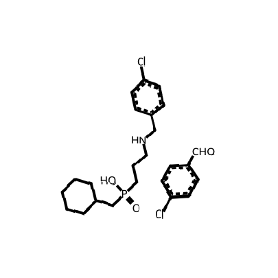 O=Cc1ccc(Cl)cc1.O=P(O)(CCCNCc1ccc(Cl)cc1)CC1CCCCC1